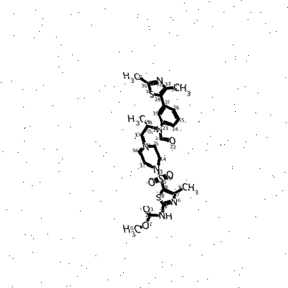 COC(=O)Nc1nc(C)c(S(=O)(=O)N2CCN(C[C@H](C)N(C=O)c3cccc(-c4sc(C)nc4C)c3)CC2)s1